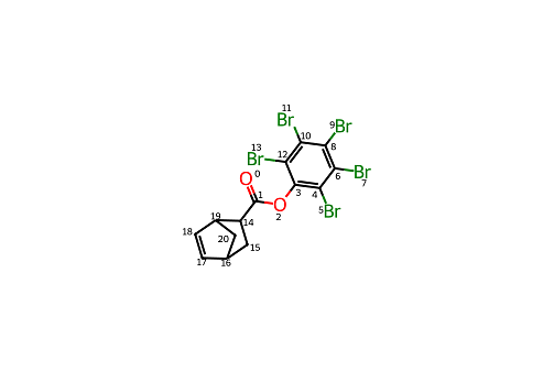 O=C(Oc1c(Br)c(Br)c(Br)c(Br)c1Br)C1CC2C=CC1C2